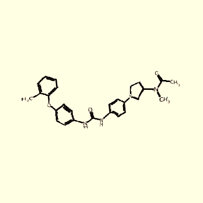 CC(=O)N(C)C1CCN(c2ccc(NC(=O)Nc3ccc(Oc4ccccc4C)cc3)cc2)C1